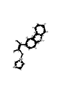 CC(Cn1ccnc1)=C(C)c1ccc2sc3ccccc3c2c1